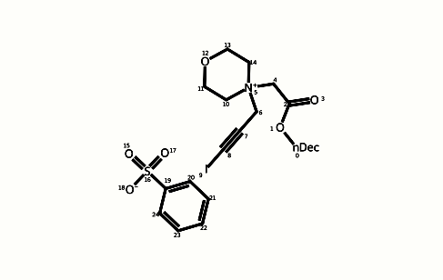 CCCCCCCCCCOC(=O)C[N+]1(CC#CI)CCOCC1.O=S(=O)([O-])c1ccccc1